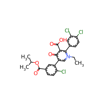 CCn1cc(-c2cc(C(=O)OC(C)C)ccc2Cl)c(=O)c(C(=O)O)c1-c1ccc(Cl)c(Cl)c1